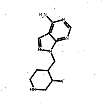 Nc1ncnc2c1cnn2CC1CCNCC1F